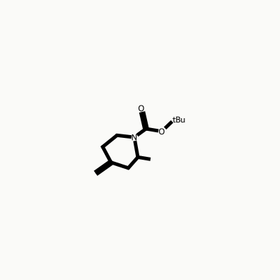 C=C1CCN(C(=O)OC(C)(C)C)C(C)C1